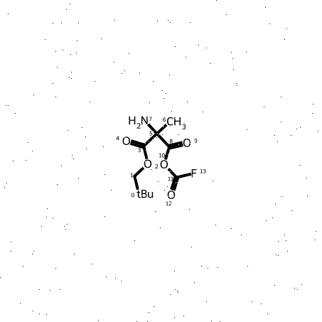 CC(C)(C)COC(=O)C(C)(N)C(=O)OC(=O)F